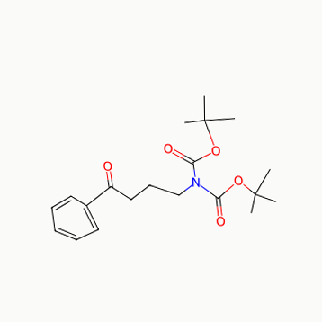 CC(C)(C)OC(=O)N(CCCC(=O)c1ccccc1)C(=O)OC(C)(C)C